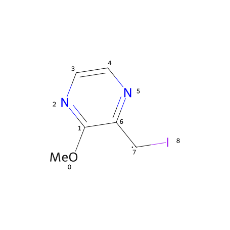 COc1nccnc1[CH]I